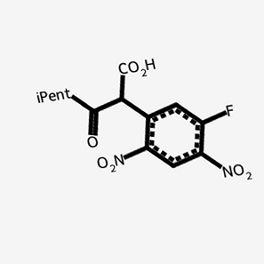 CCCC(C)C(=O)C(C(=O)O)c1cc(F)c([N+](=O)[O-])cc1[N+](=O)[O-]